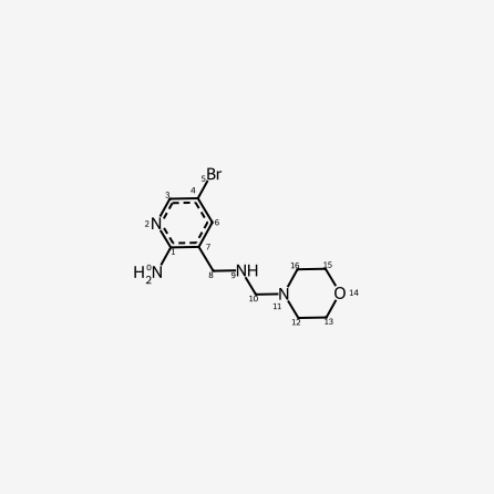 Nc1ncc(Br)cc1CNCN1CCOCC1